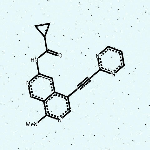 CNc1ncc(C#Cc2ncccn2)c2cc(NC(=O)C3CC3)ncc12